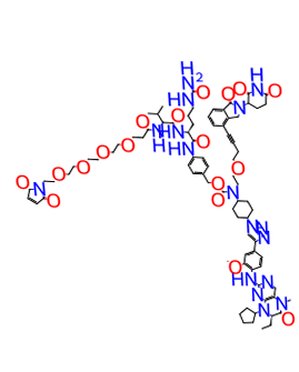 CC[C@@H]1C(=O)N(C)c2cnc(Nc3ccc(-c4cn([C@H]5CC[C@@H](N(CCOCCC#Cc6cccc7c6CN(C6CCC(=O)NC6=O)C7=O)C(=O)OCc6ccc(NC(=O)[C@H](CCCNC(N)=O)NC(=O)[C@@H](NC(=O)CCOCCOCCOCCOCCN7C(=O)C=CC7=O)C(C)C)cc6)CC5)nn4)cc3OC)nc2N1C1CCCC1